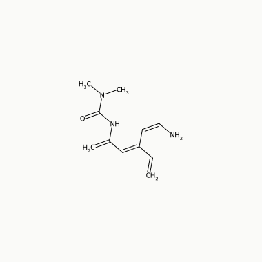 C=CC(/C=C\N)=C/C(=C)NC(=O)N(C)C